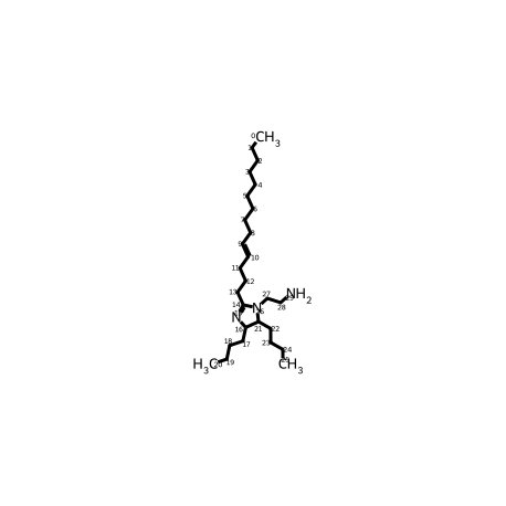 CCCCCCCCCC=CCCCC1=NC(CCCC)C(CCCC)N1CCN